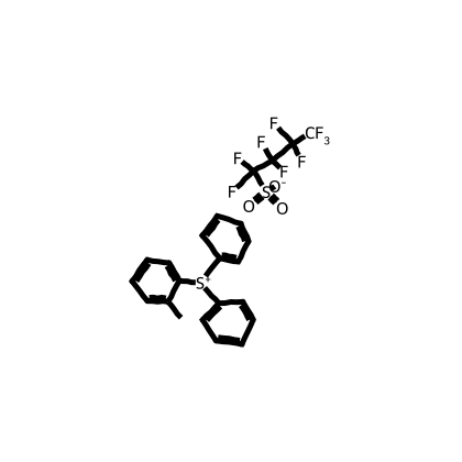 Cc1ccccc1[S+](c1ccccc1)c1ccccc1.O=S(=O)([O-])C(F)(F)C(F)(F)C(F)(F)C(F)(F)F